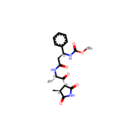 CC(C)[C@H](NC(=O)C[C@H](NC(=O)OC(C)(C)C)c1ccccc1)C(=O)[C@@H]1C(=O)NC(=O)[C@H]1C